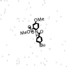 CCC(C)c1ccc(C(=O)Nc2ccc(OC)cc2S(=O)(=O)OC)cc1